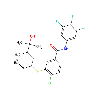 CC[C@H](C)CC(CC(C)C(C)(C)O)Sc1cc(C(=O)Nc2cc(F)c(F)c(F)c2)ccc1Cl